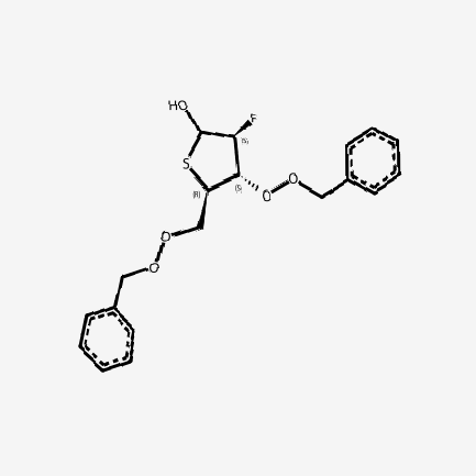 OC1S[C@H](COOCc2ccccc2)[C@@H](OOCc2ccccc2)[C@@H]1F